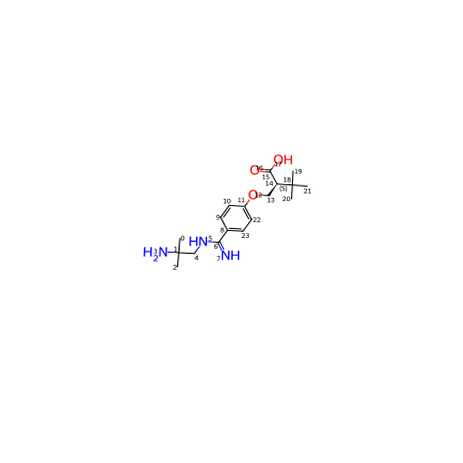 CC(C)(N)CNC(=N)c1ccc(OC[C@@H](C(=O)O)C(C)(C)C)cc1